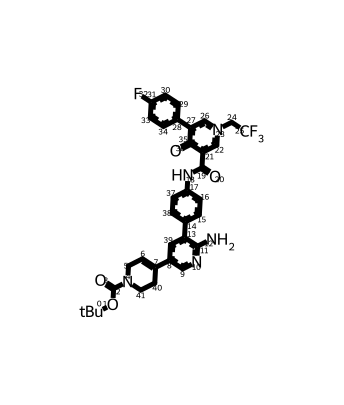 CC(C)(C)OC(=O)N1CC=C(c2cnc(N)c(-c3ccc(NC(=O)c4cn(CC(F)(F)F)cc(-c5ccc(F)cc5)c4=O)cc3)c2)CC1